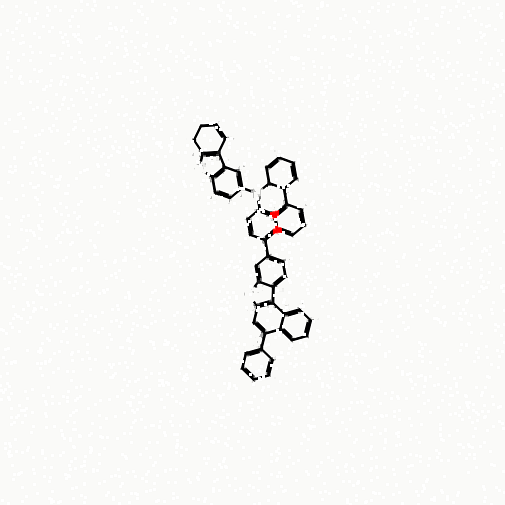 C1=CC(c2ccccc2)C(N(c2ccc(-c3ccc4c(c3)oc3cc(-c5ccccc5)c5ccccc5c34)cc2)c2ccc3oc4c(c3c2)C=CCC4)C=C1